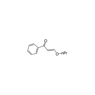 CCCOC=CC(=O)c1ccccc1